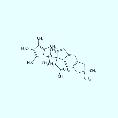 CC1=C(C)[C](C)([Hf]([CH3])([CH3])[C]2(CC(C)C)C=Cc3cc4c(cc32)CC(C)(C)C4)C(C)=C1C